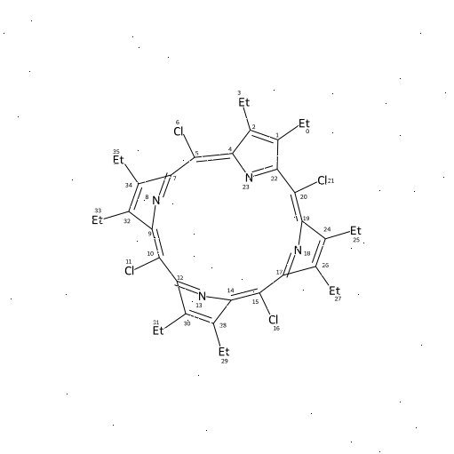 CCC1=C(CC)C2=C(Cl)C3=NC(=C(Cl)C4=NC(=C(Cl)C5=NC(=C(Cl)C1=N2)C(CC)=C5CC)C(CC)=C4CC)C(CC)=C3CC